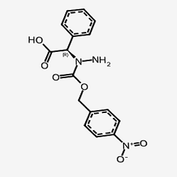 NN(C(=O)OCc1ccc([N+](=O)[O-])cc1)[C@@H](C(=O)O)c1ccccc1